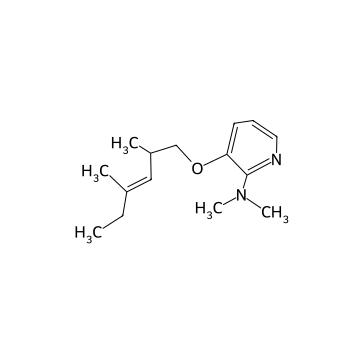 CC/C(C)=C/C(C)COc1cccnc1N(C)C